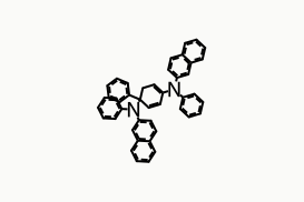 C1=CC(c2ccccc2)(N(c2ccccc2)c2ccc3ccccc3c2)CC=C1N(c1ccccc1)c1ccc2ccccc2c1